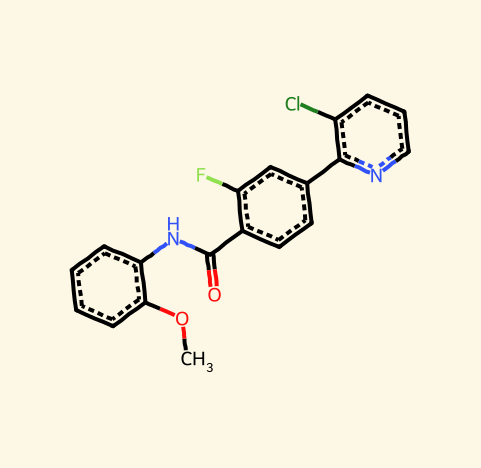 COc1ccccc1NC(=O)c1ccc(-c2ncccc2Cl)cc1F